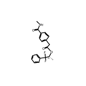 CNC(=O)c1ccc(CC(=O)O[C@H](C)C(F)(F)c2ccccc2)cc1